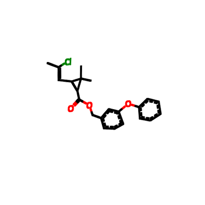 C/C(Cl)=C/C1C(C(=O)OCc2cccc(Oc3ccccc3)c2)C1(C)C